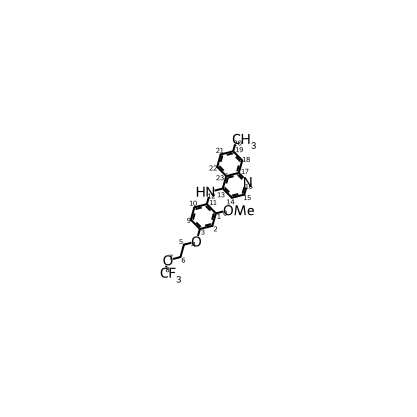 COc1cc(OCCOC(F)(F)F)ccc1Nc1ccnc2cc(C)ccc12